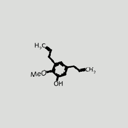 C=CCc1cc(O)c(OC)c(CC=C)c1